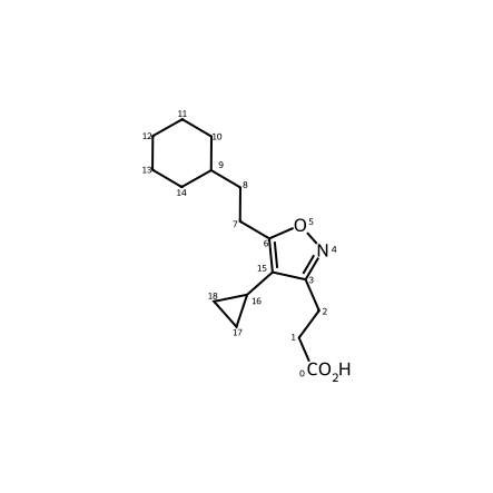 O=C(O)CCc1noc(CCC2CCCCC2)c1C1CC1